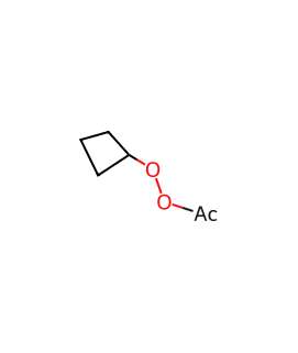 CC(=O)OOC1CCC1